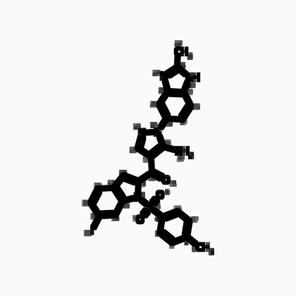 Cc1ccc(S(=O)(=O)n2c(C(=O)c3cnn(-c4ccc5[nH]c(C)nc5c4)c3N)cc3ccc(I)cc32)cc1